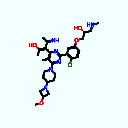 CNC[C@@H](O)COc1ccc(Cl)c(-c2nc(/C(C(C)=N)=C(\C)O)c(C)c(N3CCC(N4CC(OC)C4)CC3)n2)c1